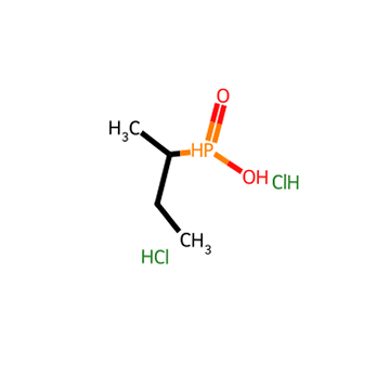 CCC(C)[PH](=O)O.Cl.Cl